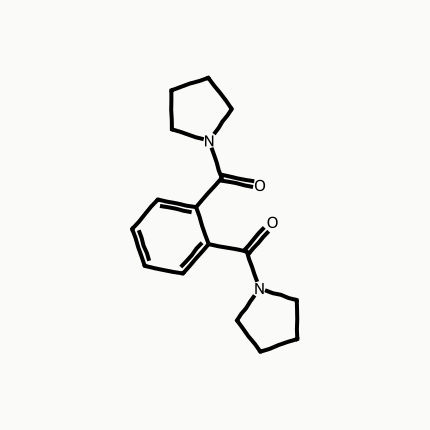 O=C(c1ccccc1C(=O)N1CCCC1)N1CCCC1